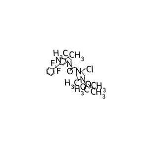 C[C@@H]1CN(CC(=O)N2CC(C)(C)c3cnc(C(F)(F)c4ccccc4)cc32)[C@@H](CCl)CN1C(=O)OC(C)(C)C